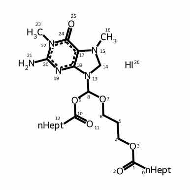 CCCCCCCC(=O)OCCCOC(OC(=O)CCCCCCC)N1CN(C)c2c1nc(N)n(C)c2=O.I